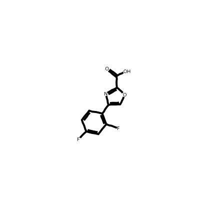 O=C(O)c1nc(-c2ccc(F)cc2F)co1